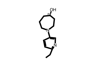 CCc1ccc(N2CCC[C@@H](O)CC2)cn1